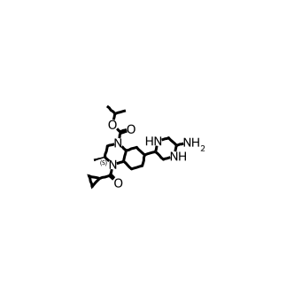 CC(C)OC(=O)N1C[C@H](C)N(C(=O)C2CC2)C2CCC(C3CNC(N)CN3)CC21